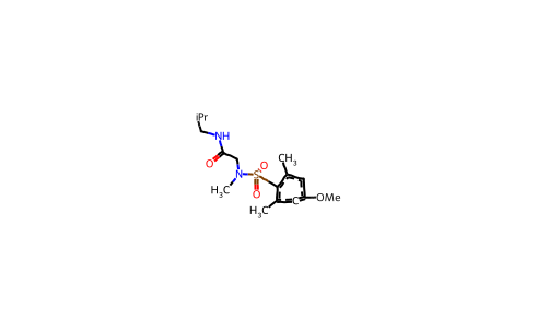 COc1cc(C)c(S(=O)(=O)N(C)CC(=O)NCC(C)C)c(C)c1